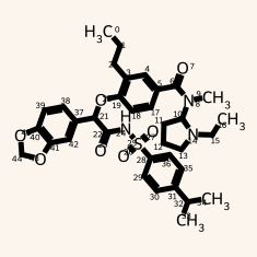 CCCc1cc(C(=O)N(C)C2CCCN2CC)ccc1OC(C(=O)NS(=O)(=O)c1ccc(C(C)C)cc1)c1ccc2c(c1)OCO2